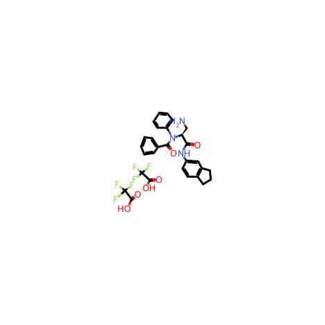 NC[C@@H](C(=O)Nc1ccc2c(c1)CCC2)N(C(=O)c1ccccc1)c1ccccc1.O=C(O)C(F)(F)F.O=C(O)C(F)(F)F